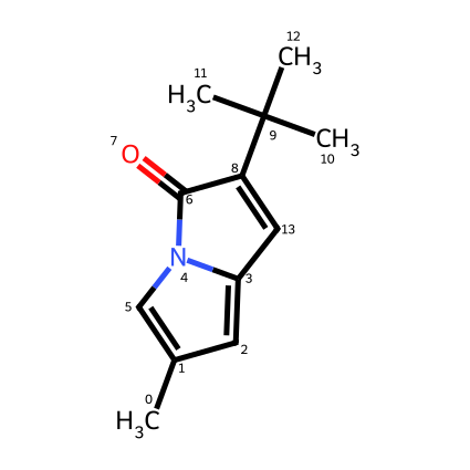 Cc1cc2n(c1)C(=O)C(C(C)(C)C)=C2